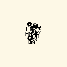 CC(C)c1coc([C@H](Nc2n[s+]([O-])nc2Nc2ccc(Br)c([S+]([O-])N(C)C)c2O)C2CCCC2)c1